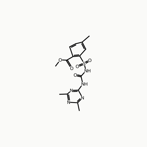 COC(=O)c1ccc(C)cc1S(=O)(=O)NC(=O)Nc1nc(C)nc(C)n1